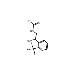 O=C(O)NCC(O)c1ccccc1C(F)(F)F